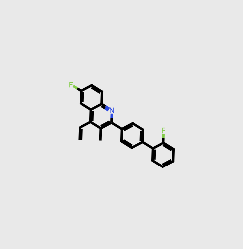 C=Cc1c(C)c(-c2ccc(-c3ccccc3F)cc2)nc2ccc(F)cc12